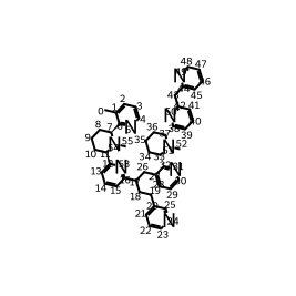 Cc1cccnc1[C@@H]1CCC[C@H](c2cccc(C(CCc3cccnc3)Cc3cccnc3[C@@H]3CCC[C@H](c4cccc(Cc5ccccn5)n4)N3C)n2)N1C